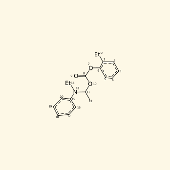 CCc1ccccc1OC(=O)OC(C)N(CC)c1ccccc1